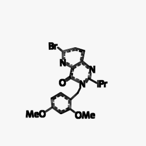 COc1ccc(Cn2c(C(C)C)nc3ccc(Br)nc3c2=O)c(OC)c1